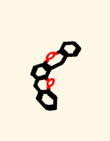 C1=CC2=C(CC1)Oc1ccc3c(c1C2)Oc1ccccc1C3